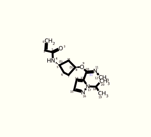 C=CC(=O)N[C@H]1CC[C@H](O/C(=N/C)c2ccnn2C(C)C)C1